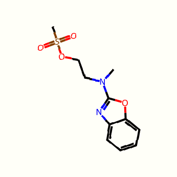 CN(CCOS(C)(=O)=O)c1nc2ccccc2o1